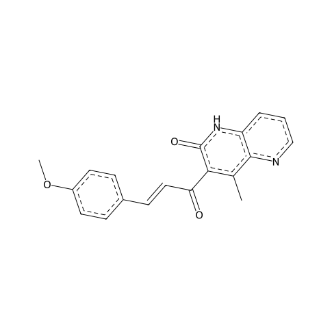 COc1ccc(C=CC(=O)c2c(C)c3ncccc3[nH]c2=O)cc1